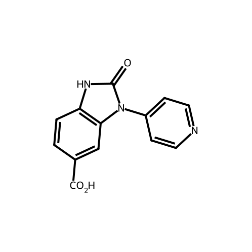 O=C(O)c1ccc2[nH]c(=O)n(-c3ccncc3)c2c1